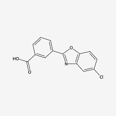 O=C(O)c1cccc(-c2nc3cc(Cl)ccc3o2)c1